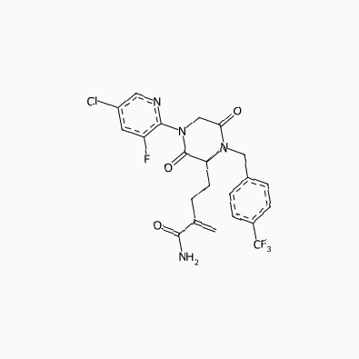 C=C(CCC1C(=O)N(c2ncc(Cl)cc2F)CC(=O)N1Cc1ccc(C(F)(F)F)cc1)C(N)=O